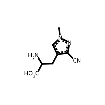 Cn1cc(CC(N)C(=O)O)c(C#N)n1